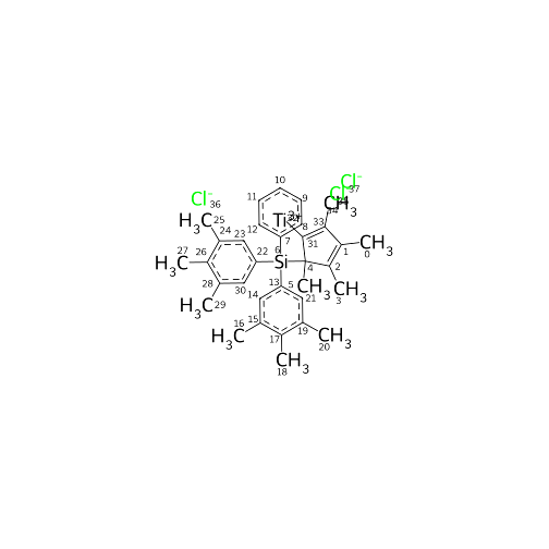 CC1=C(C)C(C)([Si](c2ccccc2)(c2cc(C)c(C)c(C)c2)c2cc(C)c(C)c(C)c2)[C]([Ti+3])=C1C.[Cl-].[Cl-].[Cl-]